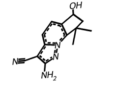 CC1(C)CC(O)c2ccc3c(C#N)c(N)nn3c21